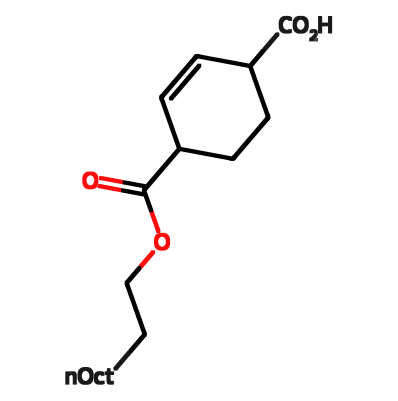 CCCCCCCCCCOC(=O)C1C=CC(C(=O)O)CC1